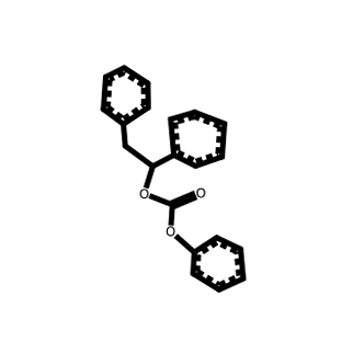 O=C(Oc1ccccc1)OC(Cc1ccccc1)c1ccccc1